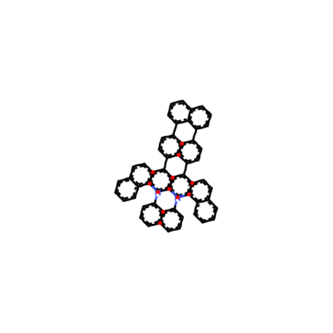 c1ccc(N(c2cccc(-c3ccc(-c4cccc5cccc(-c6ccc(-c7cccc(N(c8ccccc8)c8cccc9ccccc89)c7)cc6)c45)cc3)c2)c2cccc3ccccc23)cc1